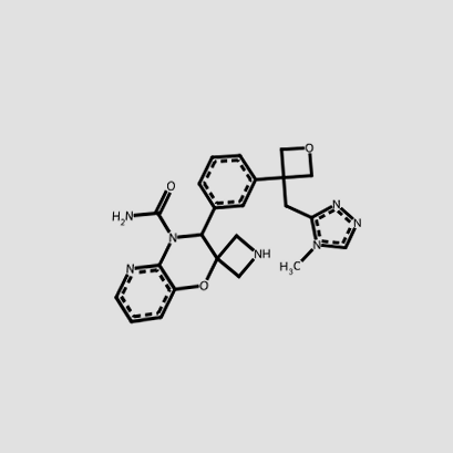 Cn1cnnc1CC1(c2cccc(C3N(C(N)=O)c4ncccc4OC34CNC4)c2)COC1